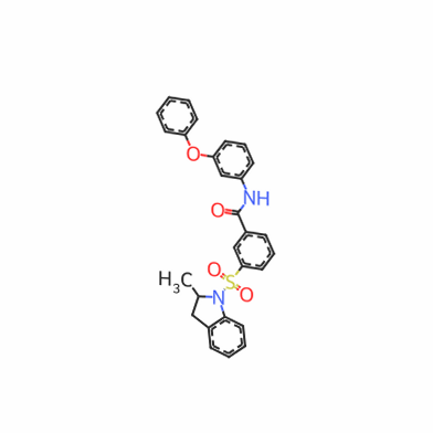 CC1Cc2ccccc2N1S(=O)(=O)c1cccc(C(=O)Nc2cccc(Oc3ccccc3)c2)c1